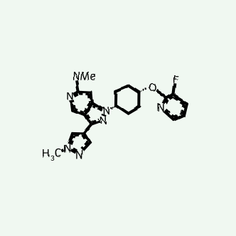 CNc1cc2c(cn1)c(-c1cnn(C)c1)nn2[C@H]1CC[C@@H](Oc2ncccc2F)CC1